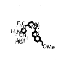 COCCc1ccc2ccc(-c3nnc4ccc([C@H](N5CC[C@](C)(N)C5)C(F)(F)F)cn34)nc2c1.Cl.Cl